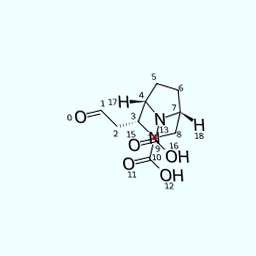 O=CC[C@@H]1[C@@H]2CC[C@H](CN1C(=O)O)N2C(=O)O